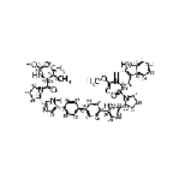 COC(=O)N[C@@H](Cc1c[nH]c2ccccc12)C(=O)N1CCC[C@H]1c1ncc(-c2ccc(-c3ccc(-c4cnc([C@@H]5CCCN5C(=O)[C@@H](NC(=O)O)C(C)C)[nH]4)cc3)cc2)[nH]1